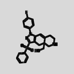 O=S(=O)(c1ccccc1)c1nn(-c2ccc(F)cc2)c2c1CC1(CO)CNCCC1=C2